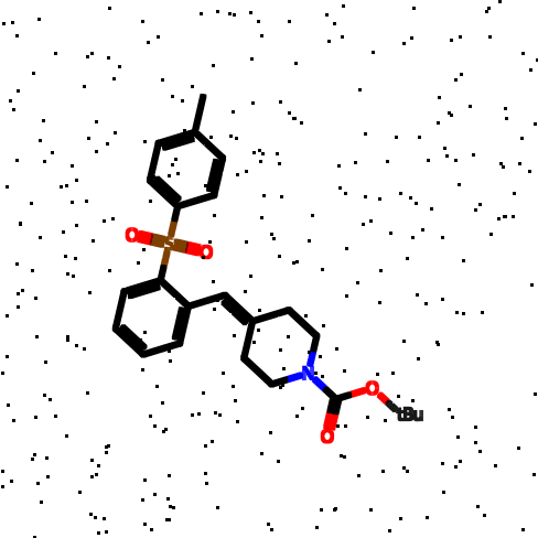 Cc1ccc(S(=O)(=O)c2ccccc2C=C2CCN(C(=O)OC(C)(C)C)CC2)cc1